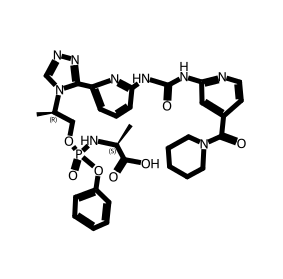 C[C@H](NP(=O)(OC[C@@H](C)n1cnnc1-c1cccc(NC(=O)Nc2cc(C(=O)N3CCCCC3)ccn2)n1)Oc1ccccc1)C(=O)O